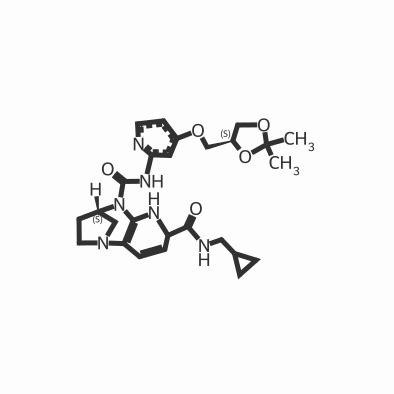 CC1(C)OC[C@H](COc2ccnc(NC(=O)N3C4=C(C=CC(C(=O)NCC5CC5)N4)N4CC[C@H]3C4)c2)O1